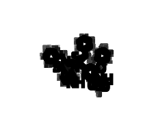 CS(=O)(=O)Nc1ccc(-c2nc(N(Cc3ccccc3)C(=S)N3CCNCC3)sc2Cc2ccccc2)cc1Oc1ccccc1